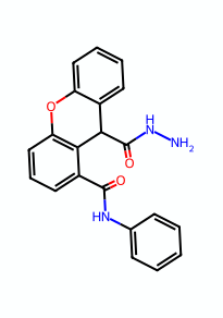 NNC(=O)C1c2ccccc2Oc2cccc(C(=O)Nc3ccccc3)c21